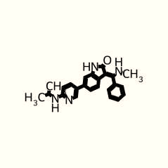 CN/C(=C1\C(=O)Nc2cc(-c3ccc(NC(C)C)nc3)ccc21)c1ccccc1